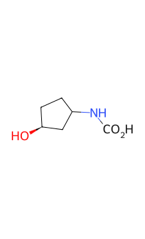 O=C(O)NC1CC[C@H](O)C1